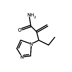 C=C(C(N)=O)C(CC)n1ccnc1